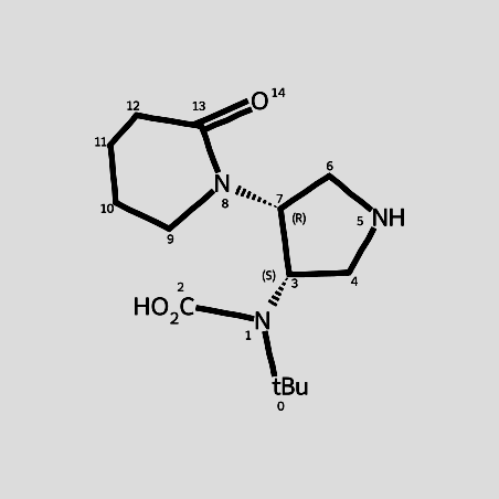 CC(C)(C)N(C(=O)O)[C@H]1CNC[C@H]1N1CCCCC1=O